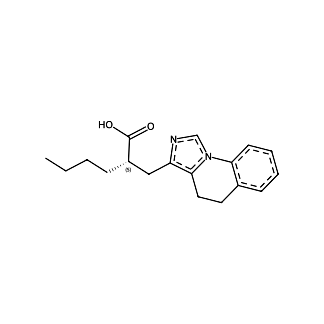 CCCC[C@@H](Cc1ncn2c1CCc1ccccc1-2)C(=O)O